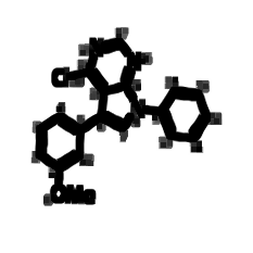 COc1cccc(-c2cn(-c3ccccc3)c3ncnc(Cl)c23)c1